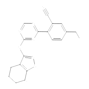 N#Cc1cc(CF)ccc1-c1ncnc(Nc2n[nH]c3c2CCCC3)n1